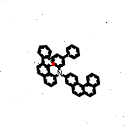 c1ccc(-c2cccc(N(c3ccc4c(ccc5ccc6ccccc6c54)c3)c3cccc4ccc5c6ccccc6sc5c34)c2)cc1